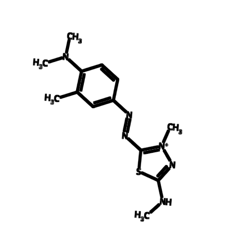 CNc1n[n+](C)c(N=Nc2ccc(N(C)C)c(C)c2)s1